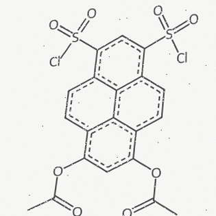 CC(=O)Oc1cc(OC(C)=O)c2ccc3c(S(=O)(=O)Cl)cc(S(=O)(=O)Cl)c4ccc1c2c43